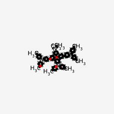 CCN(CC)c1ccc(C(c2ccc(-c3ccc(N(c4ccc(C)cc4)c4ccc(C)cc4)cc3)cc2)(c2ccc(-c3ccc(N(c4ccc(C)cc4)c4ccc(C)cc4)cc3)cc2)c2ccc(N(c3ccc(C)cc3)c3ccc(C)cc3)cc2)cc1